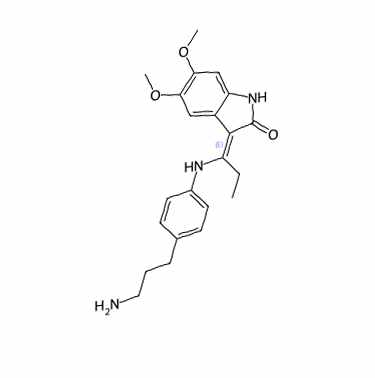 CC/C(Nc1ccc(CCCN)cc1)=C1\C(=O)Nc2cc(OC)c(OC)cc21